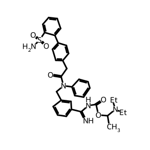 CCN(CC)C(C)OC(=O)NC(=N)c1cccc(CN(C(=O)Cc2ccc(-c3ccccc3S(N)(=O)=O)cc2)c2ccccc2)c1